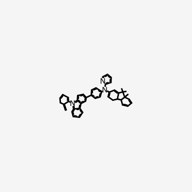 C=C1CC=CC=C1n1c2ccccc2c2cc(-c3ccc(N(C4=CCC5C(=C4)C(C)(C)C4(C)C=CC=CC54)c4ccccn4)cc3)ccc21